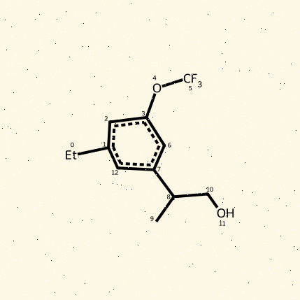 CCc1cc(OC(F)(F)F)cc([C](C)CO)c1